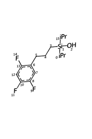 CC(C)[Si](O)(CCCc1cc(F)c(F)cc1F)C(C)C